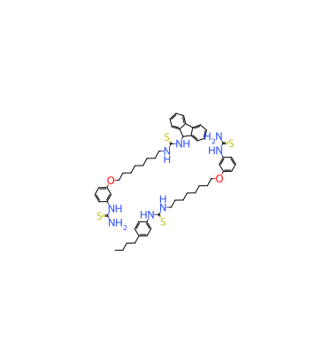 CCCCc1ccc(NC(=S)NCCCCCCCCOc2cccc(NC(N)=S)c2)cc1.NC(=S)Nc1cccc(OCCCCCCCCNC(=S)NC2c3ccccc3-c3ccccc32)c1